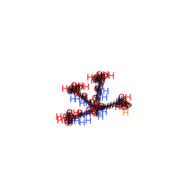 CC(=O)N[C@@H]1[C@@H](OCCC(=O)NCCCNC(=O)CCCCO[C@@H]2O[C@H](CO)[C@H](O)[C@H](O)[C@H]2NC(C)=O)[C@H](OCCC(=O)NCCCNC(=O)CCCCO[C@@H]2O[C@H](CO)[C@H](O)[C@H](O)[C@H]2NC(C)=O)[C@@H](COCCC(=O)NCCCNC(=O)CCCCO[C@@H]2O[C@H](CO)[C@H](O)[C@H](O)[C@H]2NC(C)=O)O[C@H]1NC(=O)CCCCCCCCCCC(=O)N1C[C@H](O)C[C@H]1CO[PH](=O)O